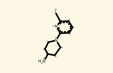 NC1CCN(c2cccc(I)n2)CC1